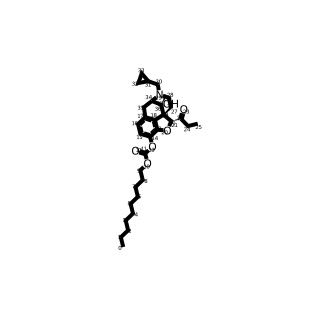 CCCCCCCCCCOC(=O)Oc1ccc2c3c1O[C@@H](C(=O)CC)[C@]31CCN(CC3CC3)C(C2)[C@@]1(C)O